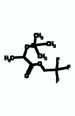 CC(O[Si](C)(C)C)C(=O)OCC(F)(F)F